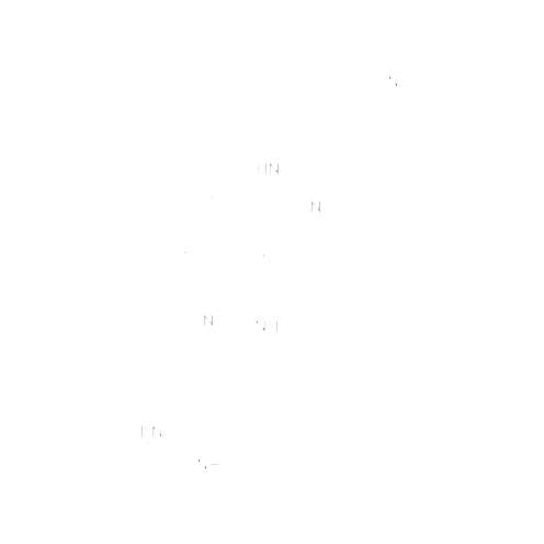 C/N=C(\Nc1ccc(C=N)cc1)c1oc(-c2nc3cc(C(=N)N)ccc3[nH]2)c2c1C1=CCC2CC1